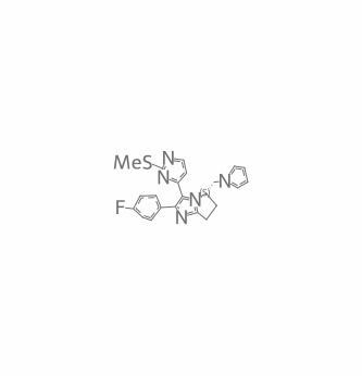 CSc1nccc(-c2c(-c3ccc(F)cc3)nc3n2[C@H](Cn2cccc2)CC3)n1